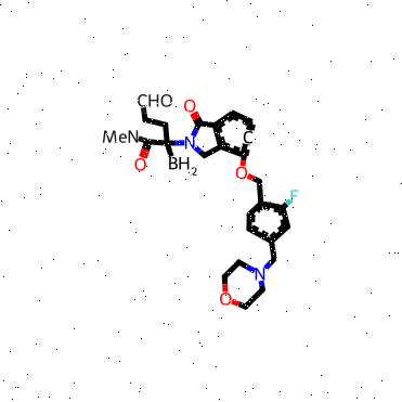 BC(CCC=O)(C(=O)NC)N1Cc2c(OCc3ccc(CN4CCOCC4)cc3F)cccc2C1=O